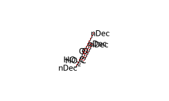 CCCCCCCCCCCCCCCCCCCCCC(=O)O.CCCCCCCCCCCCCCCCCCCCCC(=O)O.CCCCCCCCCCCCCCCCCCCCCCOC(=O)CCCCCCCCCCCCCCCCCCCCC